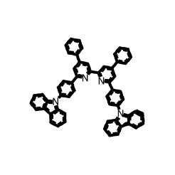 c1ccc2c3ccccc3n(-c3ccc(-c4cc(-c5ccccc5)cc(-c5cc(-c6ccccc6)cc(-c6ccc(-n7c8ccccc8c8ccccc87)cc6)n5)n4)cc3)c2c#1